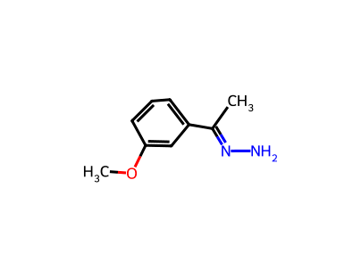 COc1cccc(/C(C)=N/N)c1